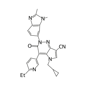 CCc1ccc(-c2c(=O)n(-c3ccc4nc(C)n(C)c4c3)nc3c(C#N)cn(CC4CC4)c23)cn1